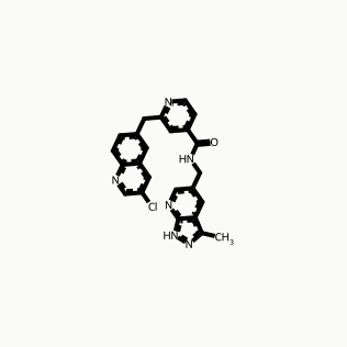 Cc1n[nH]c2ncc(CNC(=O)c3ccnc(Cc4ccc5ncc(Cl)cc5c4)c3)cc12